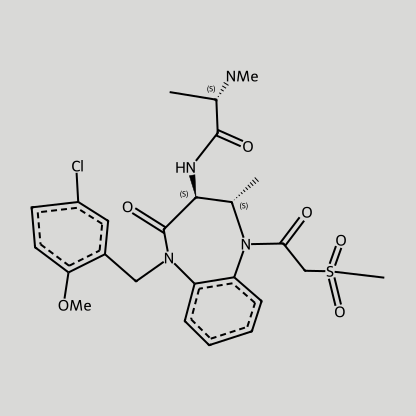 CN[C@@H](C)C(=O)N[C@@H]1C(=O)N(Cc2cc(Cl)ccc2OC)c2ccccc2N(C(=O)CS(C)(=O)=O)[C@H]1C